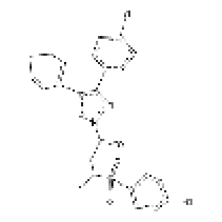 CC(CC(=O)n1cc(C2=CCCC=C2)c(-c2ccc(Cl)cc2)n1)S(=O)(=O)c1ccc(Cl)cc1